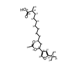 CC(=O)OC(CCCCCCCCCC(C)C(=O)O)c1coc([Si](C)(C)C)c1